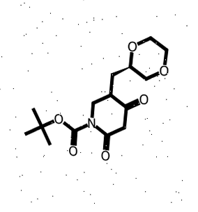 CC(C)(C)OC(=O)N1CC(C[C@@H]2COCCO2)C(=O)CC1=O